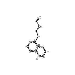 O=COCCc1cccc2ncccc12